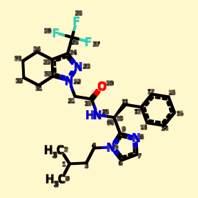 CC(C)CCn1ccnc1[C@H](Cc1ccccc1)NC(=O)Cn1nc(C(F)(F)F)c2c1CCCC2